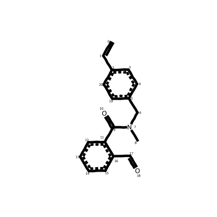 C=Cc1ccc(CN(C)C(=O)c2ccccc2C=O)cc1